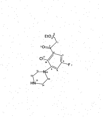 CCOC(=O)CC(=O)c1cc(F)cc(N2CCNCC2)c1Cl